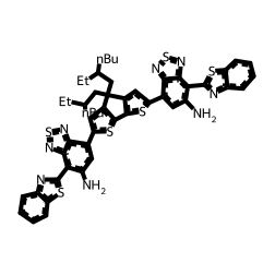 CCCCC(CC)CC1(CC(CC)CCCC)c2cc(-c3cc(N)c(-c4nc5ccccc5s4)c4nsnc34)sc2-c2sc(-c3cc(N)c(-c4nc5ccccc5s4)c4nsnc34)cc21